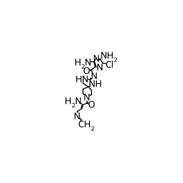 C=C/N=C\C=C(/N)C(=O)N1CCC2(CC1)CN/C(=N\C(=O)c1nc(Cl)c(N)nc1N)N2